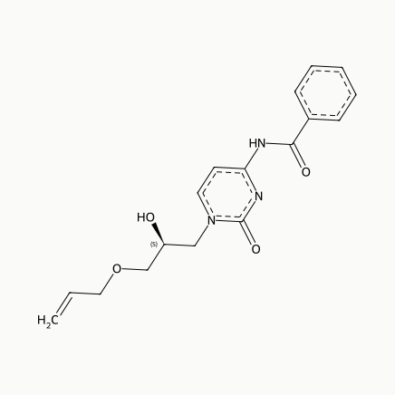 C=CCOC[C@@H](O)Cn1ccc(NC(=O)c2ccccc2)nc1=O